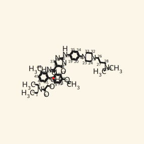 CCN(CC)C(=O)COc1ccc(Oc2nc(Nc3ccc(N4CCN(CCCN(C)C)CC4)cc3)ncc2C(=O)Nc2c(C)cccc2C)c(OC)c1